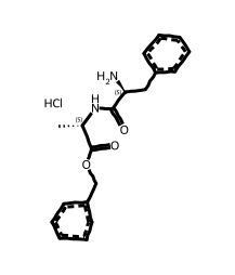 C[C@H](NC(=O)[C@@H](N)Cc1ccccc1)C(=O)OCc1ccccc1.Cl